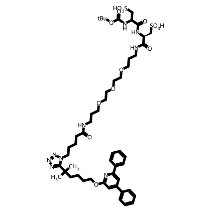 CC(C)(C)OC(=O)NC(CS(=O)(=O)O)C(=O)N[C@@H](CS(=O)(=O)O)C(=O)NCCCOCCOCCOCCCNC(=O)CCCCn1nnnc1C(C)(C)CCCCOc1cc(-c2ccccc2)cc(-c2ccccc2)n1